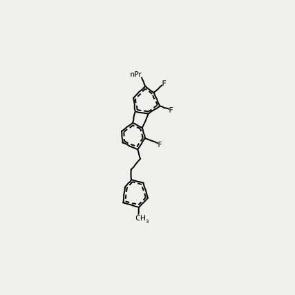 CCCc1cc2c(c(F)c1F)-c1c-2ccc(CCc2ccc(C)cc2)c1F